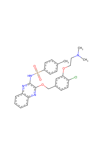 Cc1ccc(S(=O)(=O)Nc2nc3ccccc3nc2OCc2ccc(Cl)c(OCCN(C)C)c2)cc1